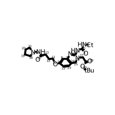 CCNC(=O)NC1=Nc2cc(OCCCC(=O)NN3CCCC3)ccc2CN1CC(=O)OC(C)(C)C